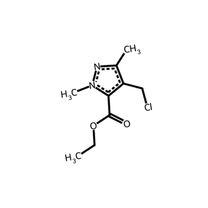 CCOC(=O)c1c(CCl)c(C)nn1C